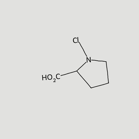 O=C(O)C1CCCN1Cl